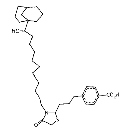 O=C(O)c1ccc(CCCC2SCC(=O)N2CCCCCCCCCCC(O)C23CCCC(CCC2)C3)cc1